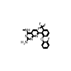 CNc1nc(N)nc2nc(-c3c(Oc4ccccc4F)cccc3C(F)(F)F)ccc12